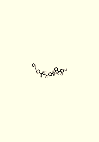 O=C(CNC(=O)c1ccc(S(=O)(=O)Nc2ccccc2C(=O)c2ccc(Cl)cc2Cl)cc1)N[C@H]1CC[C@H](CCN2CCCC2)CC1